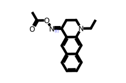 CCN1CC/C(=N\OC(C)=O)c2cc3ccccc3cc21